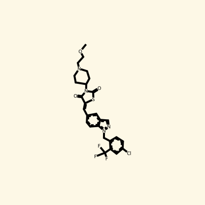 COCCN1CCC(N2C(=O)SC(=Cc3ccc4c(cnn4Cc4ccc(Cl)cc4C(F)(F)F)c3)C2=O)CC1